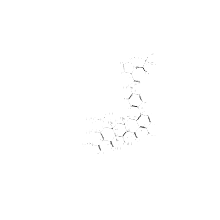 CN(C)[C@H]1C(O)=C(C(N)=O)C(=O)[C@@]2(O)C(O)=C3C(=O)c4c(O)ccc(-c5ccc(NC(=O)C6CCCN6C(=O)C(F)(F)F)cc5)c4C[C@H]3C[C@@H]12